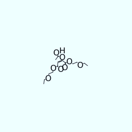 CC(=O)O.CCOCCOC(=O)/C=C\C(=O)OCCOCC